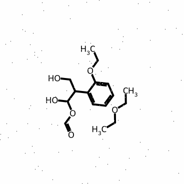 CCOCC.CCOc1ccccc1C(CO)C(O)OC=O